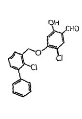 O=Cc1cc(Cl)c(OCc2cccc(-c3ccccc3)c2Cl)cc1O